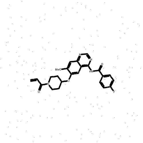 C=CC(=O)N1CCC(Oc2cc3c(NC(=O)c4ccc(F)cc4)ncnc3cc2OC)CC1